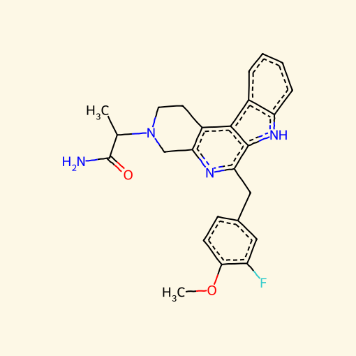 COc1ccc(Cc2nc3c(c4c2[nH]c2ccccc24)CCN(C(C)C(N)=O)C3)cc1F